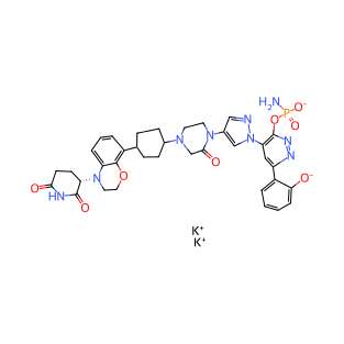 NP(=O)([O-])Oc1nnc(-c2ccccc2[O-])cc1-n1cc(N2CCN(C3CCC(c4cccc5c4OCCN5[C@H]4CCC(=O)NC4=O)CC3)CC2=O)cn1.[K+].[K+]